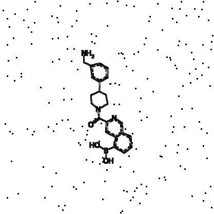 NCc1cccc(C2CCN(C(=O)c3cc4c(B(O)O)cccc4cn3)CC2)c1